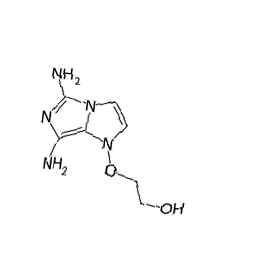 Nc1nc(N)n2ccn(OCCO)c12